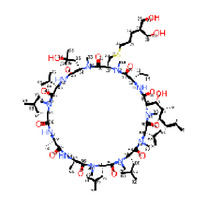 C/C=C/C[C@@H](C)[C@@H](O)[C@H]1C(=O)N[C@@H](CC)C(=O)N(C)[C@H](CSCCCC(CO)CO)C(=O)N(C)[C@@H](CC(C)(C)O)C(=O)N[C@@H](C(C)C)C(=O)N(C)[C@@H](CC(C)C)C(=O)N[C@@H](C)C(=O)N[C@H](C)C(=O)N(C)[C@@H](CC(C)C)C(=O)N(C)[C@@H](CC(C)C)C(=O)N(C)[C@@H](C(C)C)C(=O)N1C